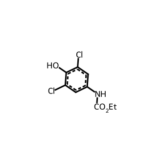 CCOC(=O)Nc1cc(Cl)c(O)c(Cl)c1